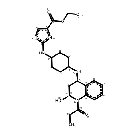 CCOC(=O)c1coc(NC2CCC(N[C@@H]3C[C@H](C)N(C(=O)CC)c4ccccc43)CC2)n1